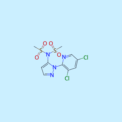 CS(=O)(=O)N(c1ccnn1-c1ncc(Cl)cc1Cl)S(C)(=O)=O